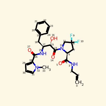 C=CCNC(=O)[C@@H]1CC(F)(F)CN1C(=O)[C@@H](O)[C@H](Cc1ccccc1)NC(=O)c1cccn1C